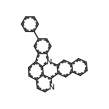 c1ccc(-c2ccc3c(c2)c2ccc4ccnc5c6cc7ccccc7cc6n3c2c45)cc1